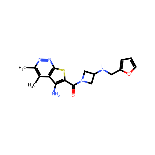 Cc1nnc2sc(C(=O)N3CC(NCc4ccco4)C3)c(N)c2c1C